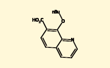 CCCCOc1c(C(=O)O)ccc2cccnc12